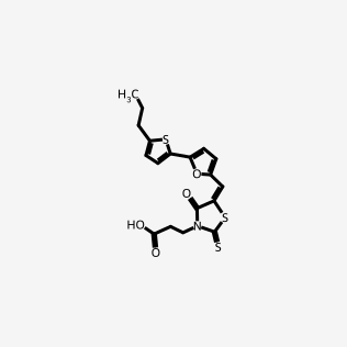 CCCc1ccc(-c2ccc(C=C3SC(=S)N(CCC(=O)O)C3=O)o2)s1